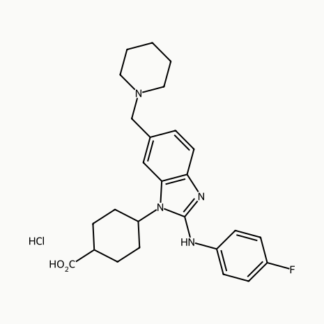 Cl.O=C(O)C1CCC(n2c(Nc3ccc(F)cc3)nc3ccc(CN4CCCCC4)cc32)CC1